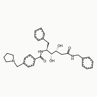 O=C(C[C@@H](O)[C@H](O)[C@H](Cc1ccccc1)NC(=O)c1ccc(CN2CCCC2)cc1)NCc1ccccc1